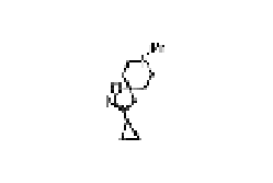 CC(C)N1CCC2(CC1)CC(C1CC1)=NO2